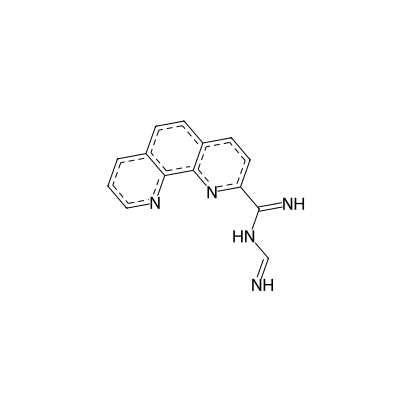 N=CNC(=N)c1ccc2ccc3cccnc3c2n1